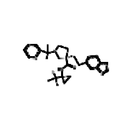 CC(C)(c1ccccn1)N1CC[C@@](CCc2ccc3ccoc3c2)(C(=O)NC2(C(F)(F)F)CC2)C1